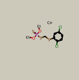 CCOP(=S)(OCC)SCSc1cc(Cl)ccc1Cl.[Co]